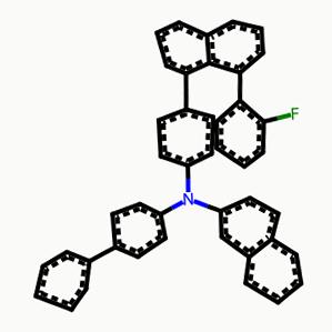 Fc1ccccc1-c1cccc2cccc(-c3ccc(N(c4ccc(-c5ccccc5)cc4)c4ccc5ccccc5c4)cc3)c12